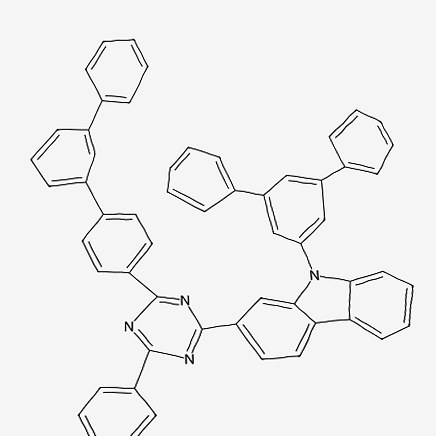 c1ccc(-c2cccc(-c3ccc(-c4nc(-c5ccccc5)nc(-c5ccc6c7ccccc7n(-c7cc(-c8ccccc8)cc(-c8ccccc8)c7)c6c5)n4)cc3)c2)cc1